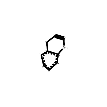 C1#C[N]c2ccccc2C1